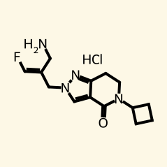 Cl.NC/C(=C\F)Cn1cc2c(n1)CCN(C1CCC1)C2=O